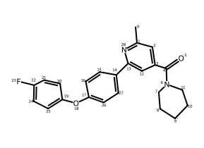 Cc1cc(C(=O)N2CC[CH]CC2)cc(-c2ccc(Oc3ccc(F)cc3)cc2)n1